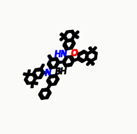 Cc1cc(-c2ccc3c(oc4cc5c(cc43)C(C)(C)CCC5(C)C)c2Nc2ccc3c(c2)C(C)(C)CCC3(C)C)c2c(c1)N(c1cc3c(cc1C)C(C)(C)CCC3(C)C)c1cc(-c3ccccc3)ccc1B2